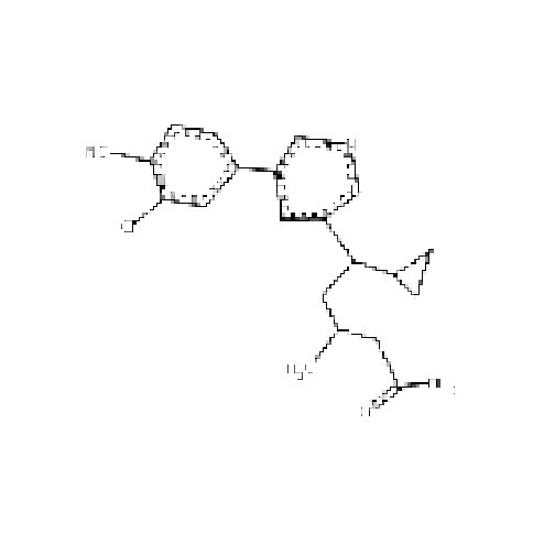 CC(CC(N)=O)CC(c1cncc(-c2ccc(C#N)c(Cl)c2)c1)C1CC1